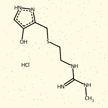 CNC(=N)NCCSCc1n[nH]cc1O.Cl